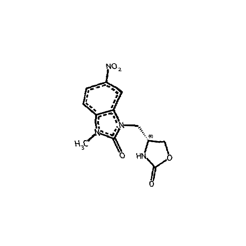 Cn1c(=O)n(C[C@@H]2COC(=O)N2)c2cc([N+](=O)[O-])ccc21